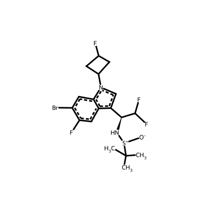 CC(C)(C)[S+]([O-])N[C@@H](c1cn(C2CC(F)C2)c2cc(Br)c(F)cc12)C(F)F